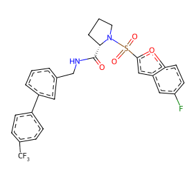 O=C(NCc1cccc(-c2ccc(C(F)(F)F)cc2)c1)[C@@H]1CCCN1S(=O)(=O)c1cc2cc(F)ccc2o1